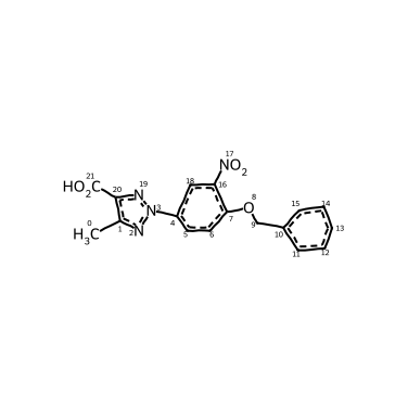 Cc1nn(-c2ccc(OCc3ccccc3)c([N+](=O)[O-])c2)nc1C(=O)O